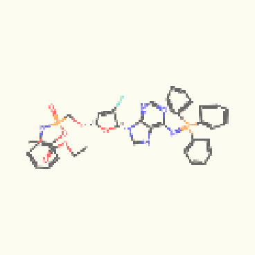 CCOC(=O)C(C)NP(=O)(CO[C@@H]1C=C(F)[C@H](n2cnc3c(N=P(c4ccccc4)(c4ccccc4)c4ccccc4)ncnc32)O1)Oc1ccccc1